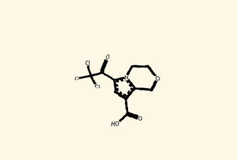 O=C(O)c1cc(C(=O)C(Cl)(Cl)Cl)n2c1COCC2